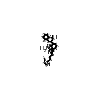 Cn1ccnc1CCCCCC1(C(=N)N)C=CC=C(C2CNc3ccccc3C2)C1=O